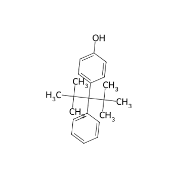 CC(C)(C)C(c1ccccc1)(c1ccc(O)cc1)C(C)(C)C